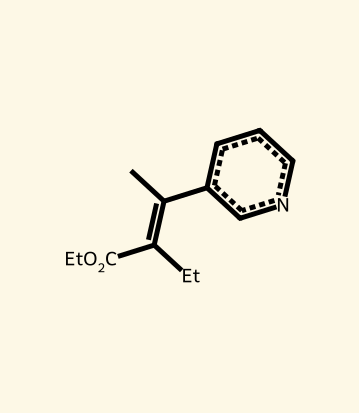 CCOC(=O)C(CC)=C(C)c1cccnc1